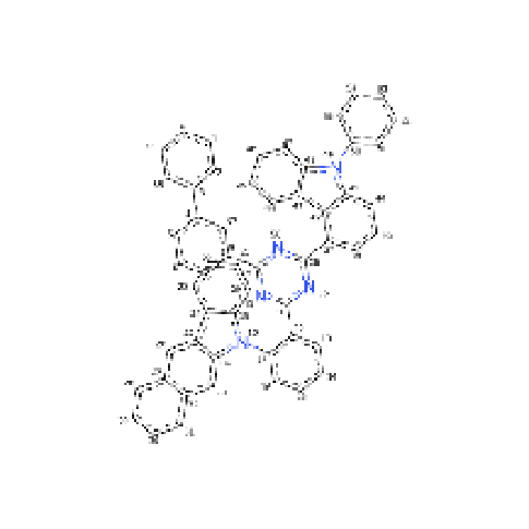 c1ccc(-c2cccc(-c3nc(-c4ccccc4-n4c5ccccc5c5cc6ccccc6cc54)nc(-c4cccc5c4c4ccccc4n5-c4ccccc4)n3)c2)cc1